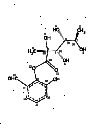 C[C@@H](O)[C@@H](O)[C@H](O)[C@@](C)(O)C(=O)Oc1c(Cl)cccc1C=O